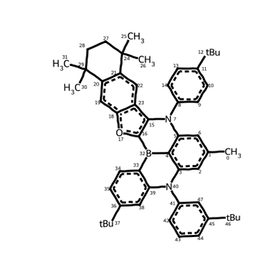 Cc1cc2c3c(c1)N(c1ccc(C(C)(C)C)cc1)c1c(oc4cc5c(cc14)C(C)(C)CCC5(C)C)B3c1ccc(C(C)(C)C)cc1N2c1cccc(C(C)(C)C)c1